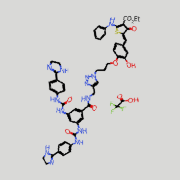 CCOC(=O)C1=C(Nc2ccccc2)S/C(=C\c2ccc(OCCCn3cc(CNC(=O)c4cc(NC(=O)Nc5ccc(C6=NCCN6)cc5)cc(NC(=O)Nc5ccc(C6=NCCN6)cc5)c4)nn3)c(O)c2)C1=O.O=C(O)C(F)(F)F